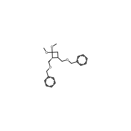 COC1(OC)CC(COCc2ccccc2)[C@H]1COCc1ccccc1